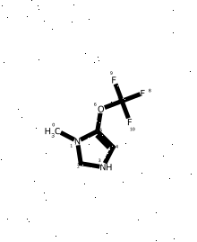 CN1[CH]NC=C1OC(F)(F)F